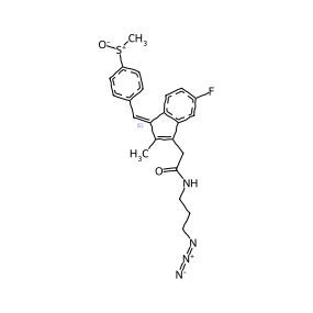 CC1=C(CC(=O)NCCCN=[N+]=[N-])c2cc(F)ccc2/C1=C\c1ccc([S+](C)[O-])cc1